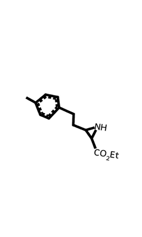 CCOC(=O)C1NC1CCc1ccc(C)cc1